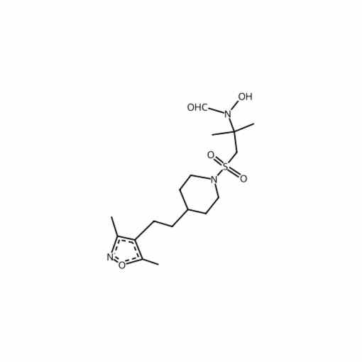 Cc1noc(C)c1CCC1CCN(S(=O)(=O)CC(C)(C)N(O)C=O)CC1